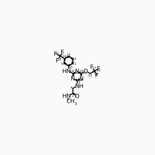 CNC(=O)CNc1nc(Nc2cccc(C(F)(F)F)c2)nc(OCC(F)(F)F)n1